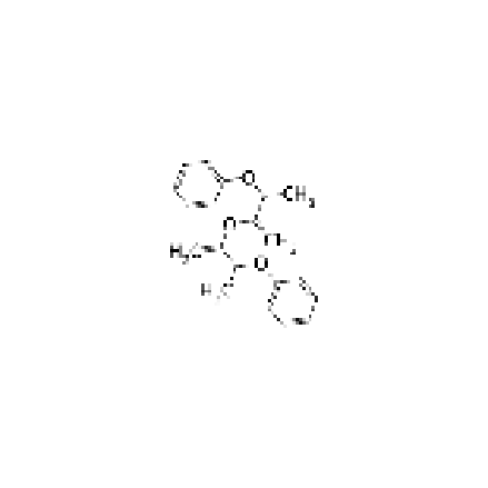 C=C(OC(=C)C(C)Oc1ccccc1)C(C)Oc1ccccc1